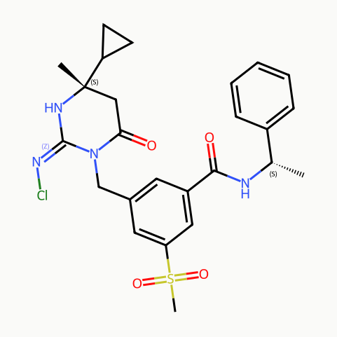 C[C@H](NC(=O)c1cc(CN2C(=O)C[C@@](C)(C3CC3)N/C2=N/Cl)cc(S(C)(=O)=O)c1)c1ccccc1